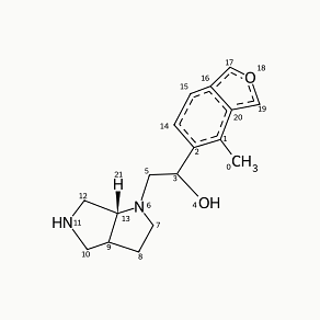 Cc1c(C(O)CN2CCC3CNC[C@@H]32)ccc2cocc12